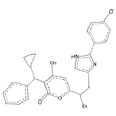 CCC(Cc1c[nH]c(-c2ccc(Cl)cc2)n1)c1cc(O)c(C(c2ccccc2)C2CC2)c(=O)o1